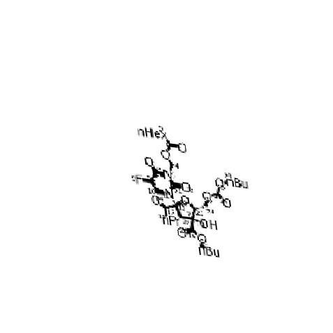 CCCCCCC(=O)OCn1c(=O)c(F)cn([C@@]2(C(=O)CCC)C[C@@](O)(C(=O)OCCCC)[C@@H](COC(=O)OCCCC)O2)c1=O